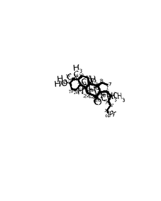 CC(C)CCC[C@@H](C)[C@H]1CC[C@H]2[C@@H]3CC=C4C(C)(C)[C@@H](O)CC[C@]4(C)[C@H]3CC(=O)[C@]12C